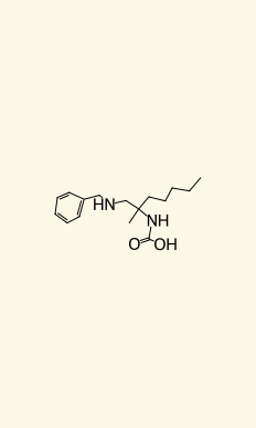 CCCCCC(C)(CNCc1ccccc1)NC(=O)O